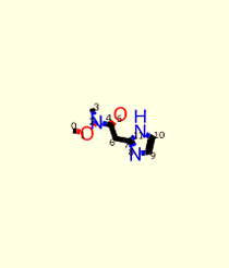 CON(C)C(=O)Cc1ncc[nH]1